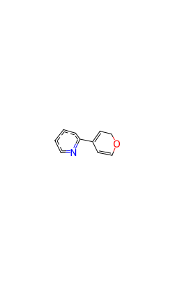 C1=CC(c2ccccn2)=CCO1